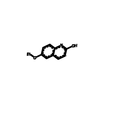 CCOc1ccc2nc(O)[c]cc2c1